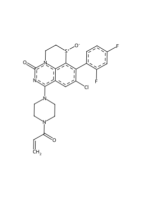 C=CC(=O)N1CCN(c2nc(=O)n3c4c(c(-c5ccc(F)cc5F)c(Cl)cc24)[S+]([O-])CC3)CC1